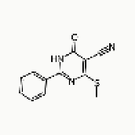 CSc1nc(-c2ccccc2)[nH]c(=O)c1C#N